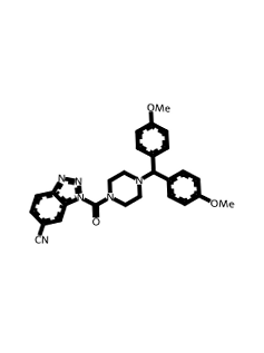 COc1ccc(C(c2ccc(OC)cc2)N2CCN(C(=O)n3nnc4ccc(C#N)cc43)CC2)cc1